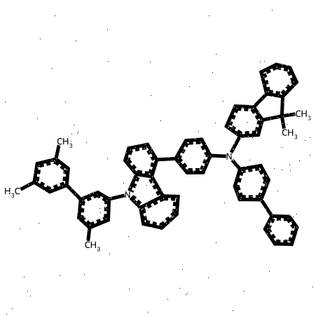 Cc1cc(C)cc(-c2cc(C)cc(-n3c4ccccc4c4c(-c5ccc(N(c6ccc(-c7ccccc7)cc6)c6ccc7c(c6)C(C)(C)c6ccccc6-7)cc5)cccc43)c2)c1